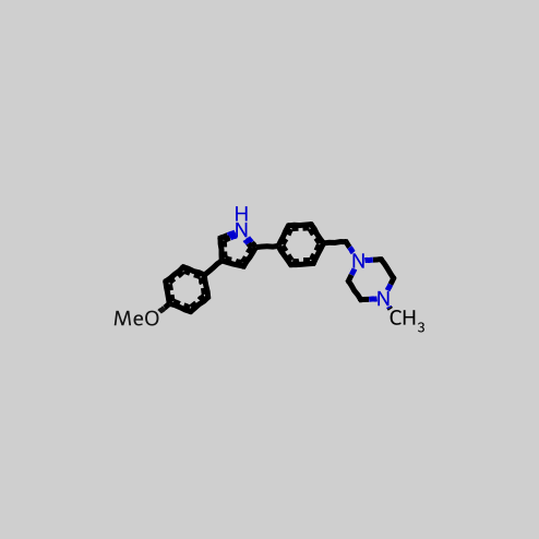 COc1ccc(-c2c[nH]c(-c3ccc(CN4CCN(C)CC4)cc3)c2)cc1